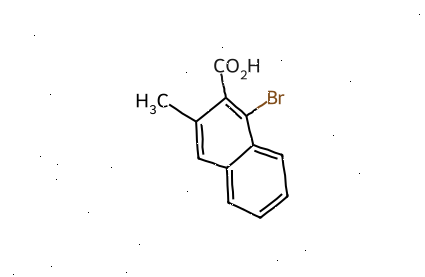 Cc1cc2ccccc2c(Br)c1C(=O)O